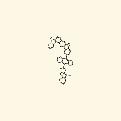 C/C(=C\c1oc2ccccc2c1C)c1c2ccccc2c(-c2ccc3oc4cc5ccc6sc7ccccc7c6c5cc4c3c2)c2ccccc12